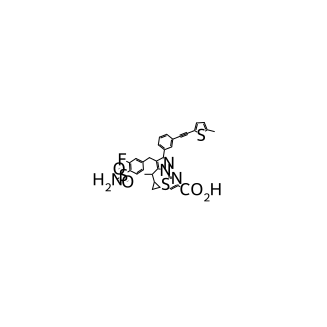 Cc1ccc(C#Cc2cccc(-c3nn(-c4nc(C(=O)O)cs4)c(C(C)C4CC4)c3Cc3ccc(S(N)(=O)=O)c(F)c3)c2)s1